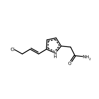 NC(=O)Cc1ccc(C=CCCl)[nH]1